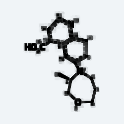 C[C@@H]1COCCCN1c1ccc2nccc(C(=O)O)c2c1